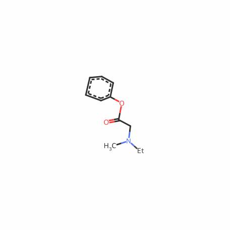 CCN(C)CC(=O)Oc1ccccc1